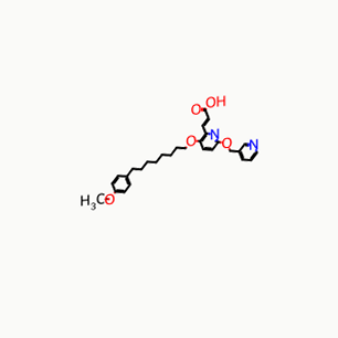 COc1ccc(CCCCCCCCOc2ccc(OCc3cccnc3)nc2C=CC(=O)O)cc1